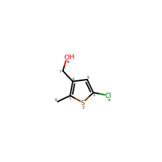 Cc1sc(Cl)cc1CO